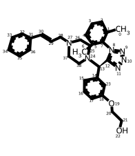 Cc1cccc(C)c1-n1nnnc1[C@@H](c1cccc(OCCO)c1)N1CCN(C/C=C/c2ccccc2)CC1